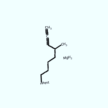 [CH2]CCCCCCCCC(C)C=C=C.[MgH2]